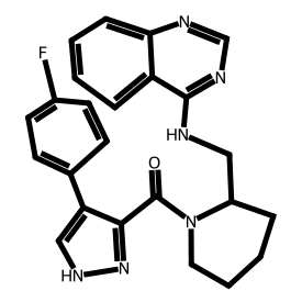 O=C(c1n[nH]cc1-c1ccc(F)cc1)N1CCCCC1CNc1ncnc2ccccc12